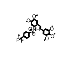 COc1cc(C=Cc2cc(OC)c(OC)c(OC)c2)c(NS(=O)(=O)c2ccc(C(F)(F)F)cc2)cc1OC